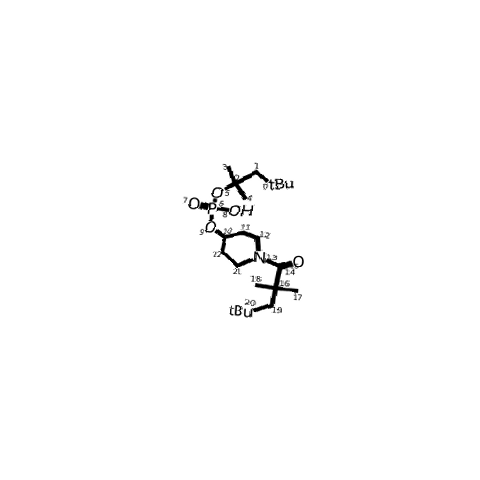 CC(C)(C)CC(C)(C)OP(=O)(O)OC1CCN(C(=O)C(C)(C)CC(C)(C)C)CC1